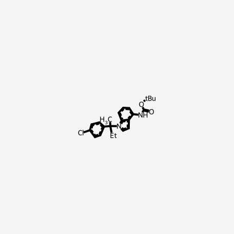 CCC(C)(c1ccc(Cl)cc1)n1ccc2c(NC(=O)OC(C)(C)C)cccc21